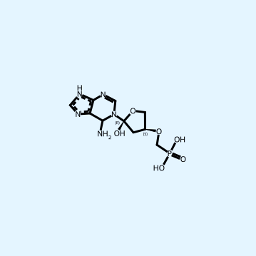 NC1c2nc[nH]c2N=CN1[C@@]1(O)C[C@H](OCP(=O)(O)O)CO1